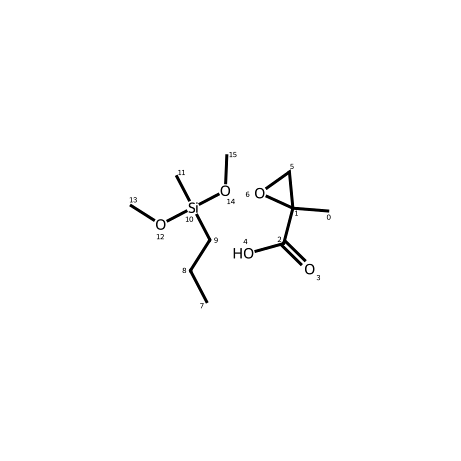 CC1(C(=O)O)CO1.CCC[Si](C)(OC)OC